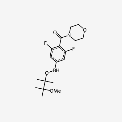 COC(C)(C)C(C)(C)OBc1cc(F)c(C(=O)N2CCOCC2)c(F)c1